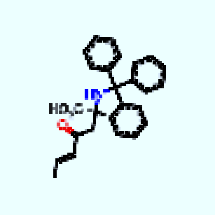 C/C=C/C(=O)C[C@](C)(NC(c1ccccc1)(c1ccccc1)c1ccccc1)C(=O)O